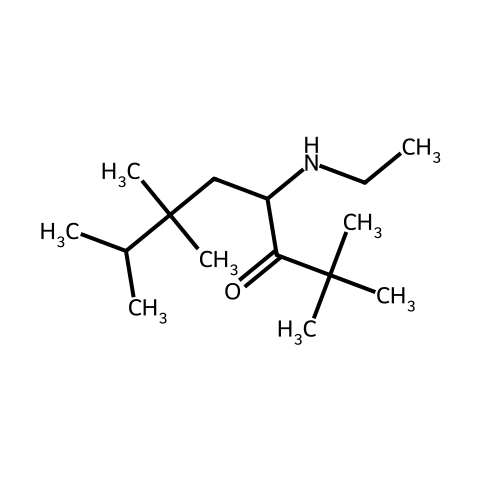 CCNC(CC(C)(C)C(C)C)C(=O)C(C)(C)C